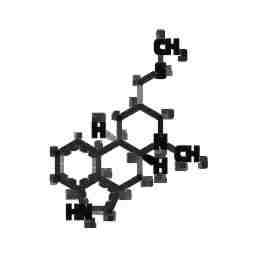 CSCC1C[C@@H]2c3cccc4[nH]cc(c34)C[C@H]2N(C)C1